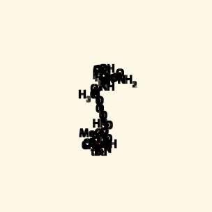 COc1cc(C(=O)NCCOCCOCCOCCN(C)C(=O)CCNc2nc(N3CCN(C(N)=O)CC3)c3cc(Cl)c(-c4c(O)cccc4F)c(F)c3n2)ccc1NC(=O)[C@@H]1N[C@@H](CC(C)(C)C)[C@](C#N)(c2ccc(Cl)cc2F)[C@H]1c1cccc(Cl)c1F